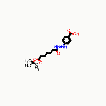 CC(C)(C)OC(=O)CCCCCC(=O)NNc1ccc(C(=O)O)cc1